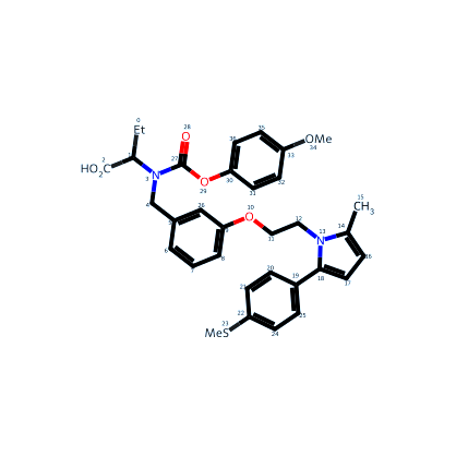 CCC(C(=O)O)N(Cc1cccc(OCCn2c(C)ccc2-c2ccc(SC)cc2)c1)C(=O)Oc1ccc(OC)cc1